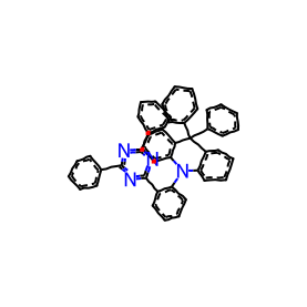 c1ccc(-c2nc(-c3ccccc3)nc(-c3ccccc3N3c4ccccc4C(c4ccccc4)(c4ccccc4)c4ccccc43)n2)cc1